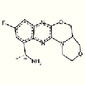 C[C@@H](N)c1cc(F)cc2nc3c(nc12)N1CCOCC1CO3